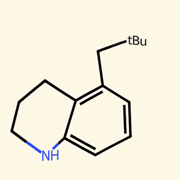 CC(C)(C)Cc1cccc2c1CCCN2